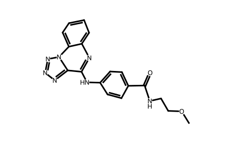 COCCNC(=O)c1ccc(Nc2nc3ccccc3n3nnnc23)cc1